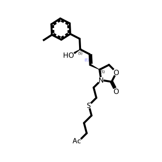 CC(=O)CCCSCCN1C(=O)OC[C@@H]1/C=C/[C@@H](O)Cc1cccc(C)c1